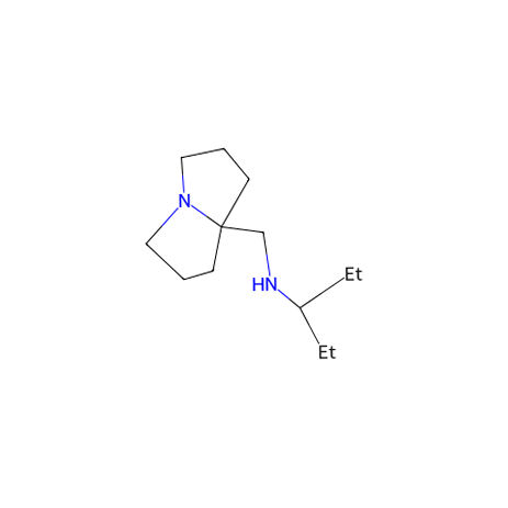 CCC(CC)NCC12CCCN1CCC2